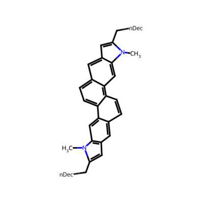 CCCCCCCCCCCc1cc2cc3ccc4c5cc6c(cc(CCCCCCCCCCC)n6C)cc5ccc4c3cc2n1C